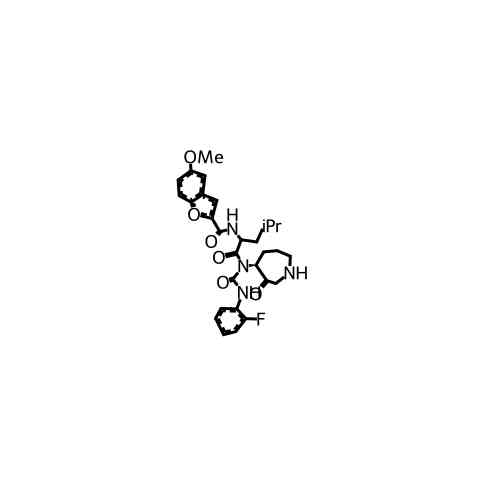 COc1ccc2oc(C(=O)NC(CC(C)C)C(=O)N(C(=O)Nc3ccccc3F)[C@H]3CCCNCC3=O)cc2c1